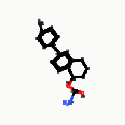 CCc1ccc(-c2ccc3c(c2)CCCC3OC(N)=O)cc1